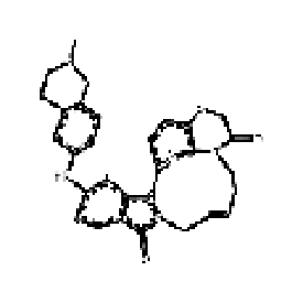 CN1CCc2cc(Nc3ncc4c(=O)n5n(c4n3)-c3ccc4c(n3)N(CC/C=C/C5)C(=O)CO4)ccc2C1